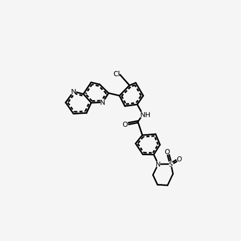 O=C(Nc1ccc(Cl)c(-c2ccc3ncccc3n2)c1)c1ccc(N2CCCCS2(=O)=O)cc1